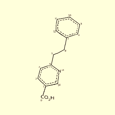 O=C(O)c1ccc(CCc2ccccc2)nc1